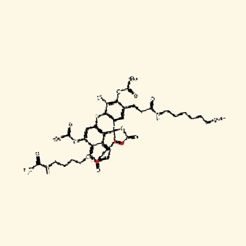 COCCCCCCNC(=O)CCc1cc2c(c(Cl)c1OC(=O)C(C)(C)C)Oc1cc(OC(=O)C(C)(C)C)c3ccccc3c1C21OC(=O)c2ccc([PH](=O)OCCCCNC(=O)C(F)(F)F)cc21